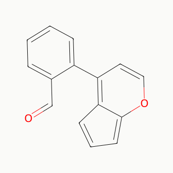 O=Cc1ccccc1-c1ccoc2cccc1-2